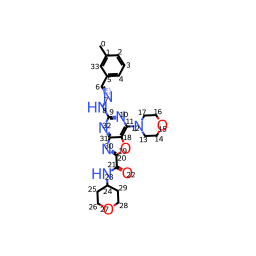 Cc1cccc(/C=N/Nc2nc(N3CCOCC3)c3oc(C(=O)NC4CCOCC4)nc3n2)c1